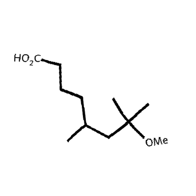 COC(C)(C)CC(C)CCCC(=O)O